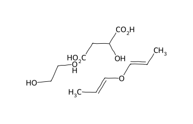 CC=COC=CC.O=C(O)CC(O)C(=O)O.OCCO